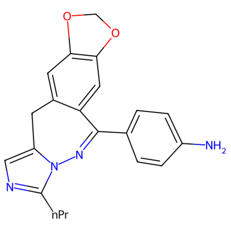 CCCc1ncc2n1N=C(c1ccc(N)cc1)c1cc3c(cc1C2)OCO3